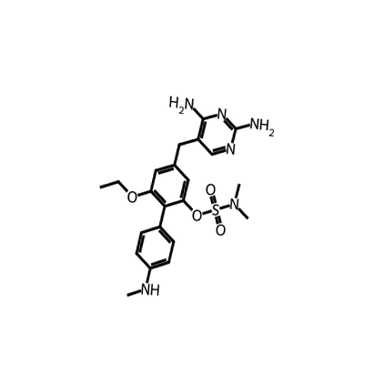 CCOc1cc(Cc2cnc(N)nc2N)cc(OS(=O)(=O)N(C)C)c1-c1ccc(NC)cc1